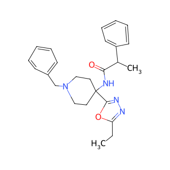 CCc1nnc(C2(NC(=O)C(C)c3ccccc3)CCN(Cc3ccccc3)CC2)o1